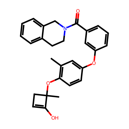 Cc1cc(Oc2cccc(C(=O)N3CCc4ccccc4C3)c2)ccc1OC1(C)CC=C1O